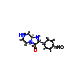 O=Nc1ccc(-c2nc3c[nH]ccn-3c2=O)cc1